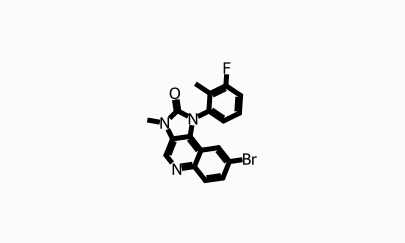 Cc1c(F)cccc1-n1c(=O)n(C)c2cnc3ccc(Br)cc3c21